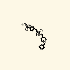 O=C(C=Cc1ccc(C(=O)NO)cc1)NCC1CCN(Cc2ccccc2)CC1